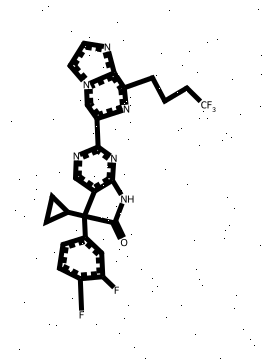 O=C1Nc2nc(-c3cn4ccnc4c(CCCC(F)(F)F)n3)ncc2C1(c1ccc(F)c(F)c1)C1CC1